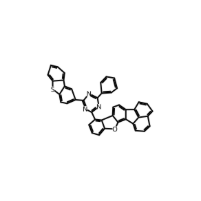 c1ccc(-c2nc(-c3ccc4sc5ccccc5c4c3)nc(-c3cccc4oc5c6c(ccc5c34)-c3cccc4cccc-6c34)n2)cc1